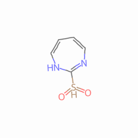 O=[SH](=O)C1=NC=CC=CN1